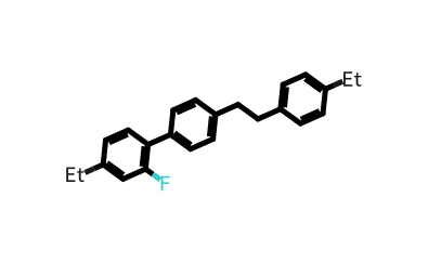 CCc1ccc(CCc2ccc(-c3ccc(CC)cc3F)cc2)cc1